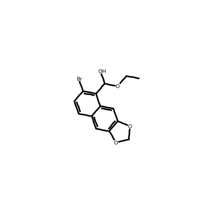 CCOC(O)c1c(Br)ccc2cc3c(cc12)OCO3